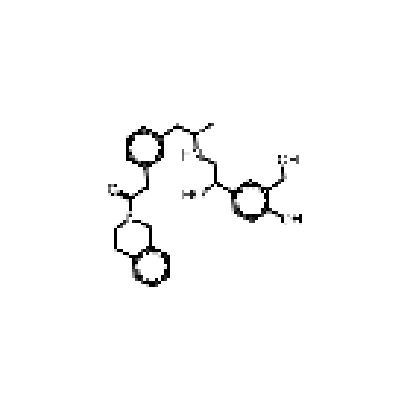 C[C@H](Cc1cccc(CC(=O)N2CCc3ccccc3C2)c1)NC[C@H](O)c1ccc(O)c(CO)c1